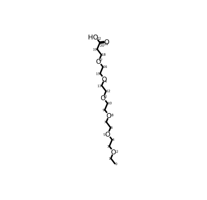 CCOCCOCCOCCOCCOCCOCCC(=O)O